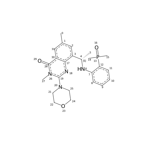 Cc1cc([C@H](C)Nc2ccccc2P(C)(C)=O)c2nc(N3CCOCC3)n(C)c(=O)c2c1